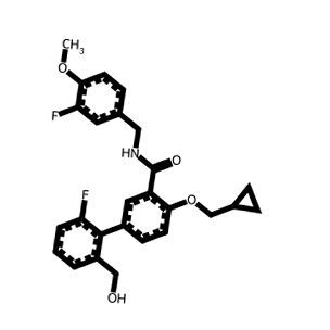 COc1ccc(CNC(=O)c2cc(-c3c(F)cccc3CO)ccc2OCC2CC2)cc1F